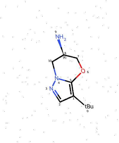 CC(C)(C)c1cnn2c1OC[C@H](N)C2